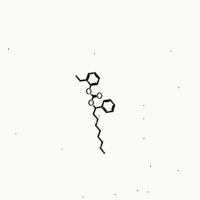 CCCCCCCCC(OC(=O)Oc1ccccc1CC)c1ccccc1